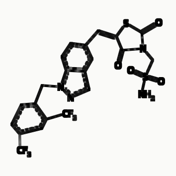 NS(=O)(=O)CN1C(=O)SC(=Cc2ccc3c(cnn3Cc3ccc(C(F)(F)F)cc3C(F)(F)F)c2)C1=O